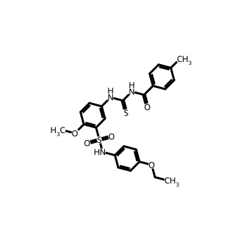 CCOc1ccc(NS(=O)(=O)c2cc(NC(=S)NC(=O)c3ccc(C)cc3)ccc2OC)cc1